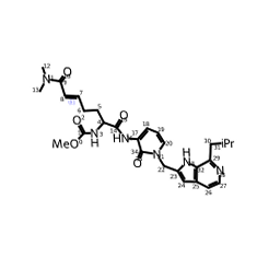 COC(=O)NC(CC/C=C/C(=O)N(C)C)C(=O)Nc1cccn(Cc2cc3ccnc(CC(C)C)c3[nH]2)c1=O